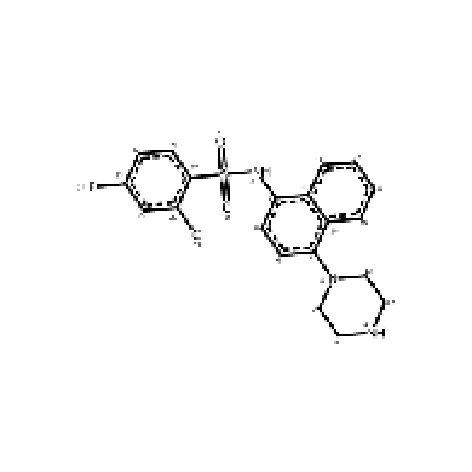 O=S(=O)(Nc1ccc(N2CCNCC2)c2ccccc12)c1ccc(F)cc1Cl